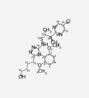 COc1cccc(OC)c1-n1c(CCCCO)nnc1NSC(C)[C@H](C)c1ncc(Cl)cn1